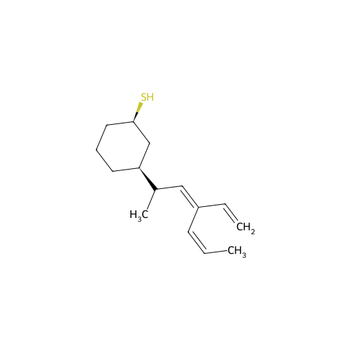 C=CC(/C=C\C)=C/C(C)[C@H]1CCC[C@@H](S)C1